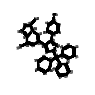 Fc1ccc(-c2nn(C(c3ccccc3)(c3ccccc3)C3C=CC=CC3)cc2-c2cc(F)c3ncc(I)n3c2)cc1